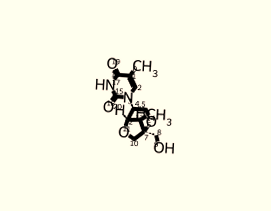 Cc1cn([C@@H]2CO[C@@]3(CO)CO[C@@H]2[C@@H]3C)c(=O)[nH]c1=O